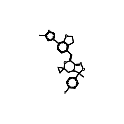 Cc1cn(-c2ccc(/C=C3\OC4(CC4)CN4C3=NOC4(C)c3ccc(F)cc3)c3c2OCC3)cn1